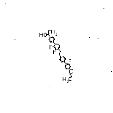 C=CCOc1ccc(-c2ccc(CCC3=CCC(c4ccc(C(C)O)cc4)C(F)=C3F)cc2)c(F)c1